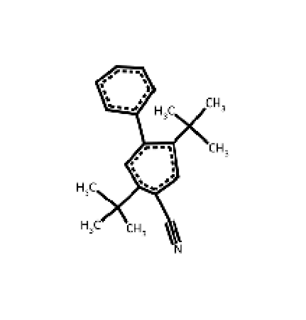 CC(C)(C)c1cc(-c2ccccc2)c(C(C)(C)C)cc1C#N